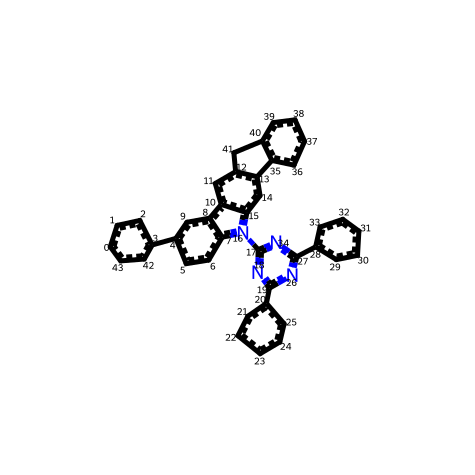 c1ccc(-c2ccc3c(c2)c2cc4c(cc2n3-c2nc(-c3ccccc3)nc(-c3ccccc3)n2)-c2ccccc2C4)cc1